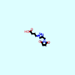 O=C(O)CCCn1cc(CN2C(=O)C=CC2=O)nn1